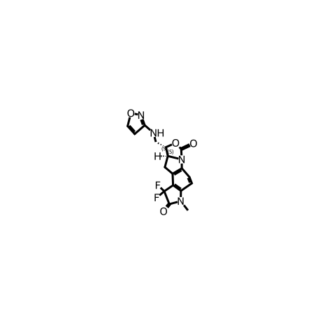 CN1C(=O)C(F)(F)c2c1ccc1c2C[C@H]2[C@H](CNc3ccon3)OC(=O)N12